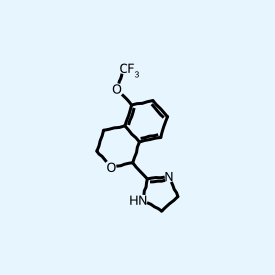 FC(F)(F)Oc1cccc2c1CCOC2C1=NCCN1